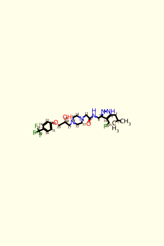 CC(C)Cc1[nH]nc(CNC(=O)CN2CCN(C[C@@H](O)COc3ccc(C(F)(F)F)cc3)CC2)c1CF